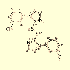 Clc1cccc(-n2ccnc2SSc2nccn2-c2cccc(Cl)c2)c1